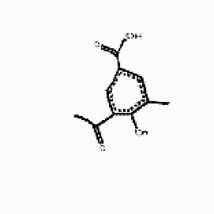 CC(=O)c1cc(C(=O)O)cc(C)c1O